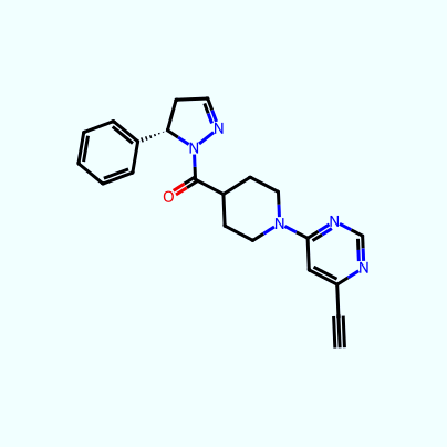 C#Cc1cc(N2CCC(C(=O)N3N=CC[C@H]3c3ccccc3)CC2)ncn1